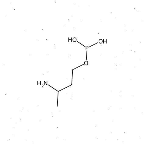 CC(N)CCOP(O)O